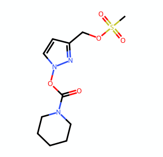 CS(=O)(=O)OCc1ccn(OC(=O)N2CCCCC2)n1